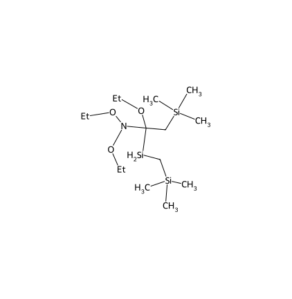 CCON(OCC)C(C[Si](C)(C)C)(OCC)[SiH2]C[Si](C)(C)C